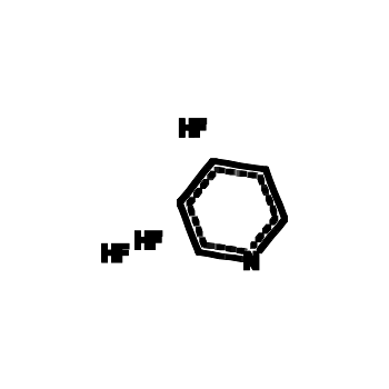 F.F.F.c1ccncc1